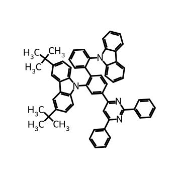 CC(C)(C)c1ccc2c(c1)c1cc(C(C)(C)C)ccc1n2-c1cc(-c2cc(-c3ccccc3)nc(-c3ccccc3)n2)ccc1-c1ccccc1-n1c2ccccc2c2ccccc21